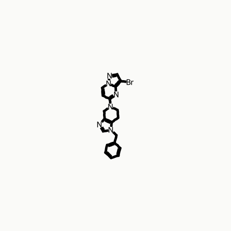 Brc1cnn2ccc(N3CCc4c(ncn4Cc4ccccc4)C3)nc12